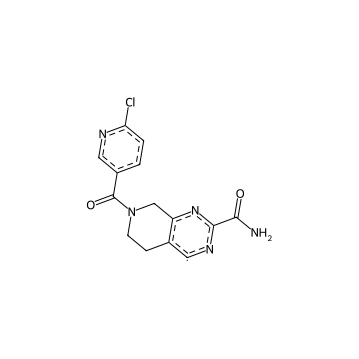 NC(=O)c1n[c]c2c(n1)CN(C(=O)c1ccc(Cl)nc1)CC2